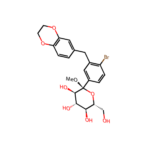 CO[C@@]1(c2ccc(Br)c(Cc3ccc4c(c3)OCCO4)c2)O[C@H](CO)[C@@H](O)[C@H](O)[C@H]1O